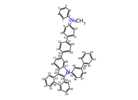 CN(c1ccccc1)c1ccc(-c2ccc(-c3ccc4c5c6ccccc6c6ccccc6c5n(-c5cccc(-c6ccccc6)c5)c4c3)cc2)cc1